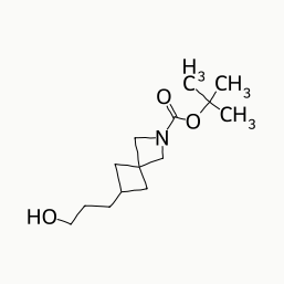 CC(C)(C)OC(=O)N1CC2(CC(CCCO)C2)C1